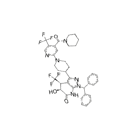 O=C1Nc2c(c(C3CCN(c4cc(C(=O)N5CCCCC5)c(C(F)(F)F)cn4)CC3)nn2C(c2ccccc2)c2ccccc2)[C@H](C(F)(F)F)[C@@H]1O